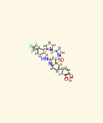 O=C(c1cc(NCc2ccc(C(F)(F)F)cc2)nc2ccc(-c3ccc4c(c3)OCO4)cc12)N1CC[C@H]1CN1CCCC1